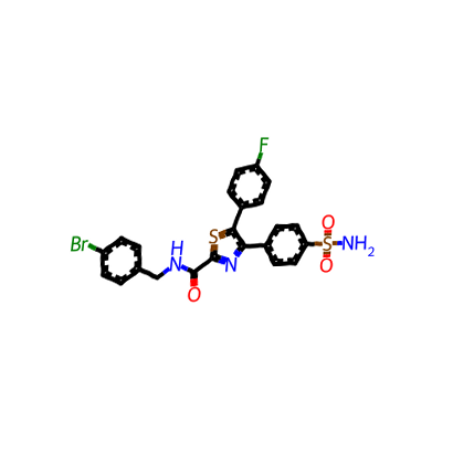 NS(=O)(=O)c1ccc(-c2nc(C(=O)NCc3ccc(Br)cc3)sc2-c2ccc(F)cc2)cc1